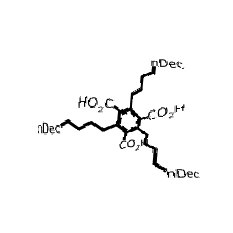 CCCCCCCCCCCCCCc1c(C(=O)O)c(CCCCCCCCCCCCCC)c(C(=O)O)c(CCCCCCCCCCCCCC)c1C(=O)O